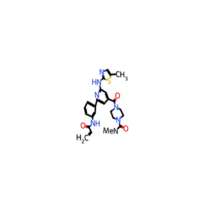 C=CC(=O)Nc1cccc(-c2cc(C(=O)N3CCN(C(=O)NC)CC3)cc(Nc3ncc(C)s3)n2)c1